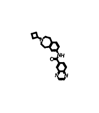 O=C(Nc1ccc2c(c1)CCN(C1CCC1)CC2)c1ccc2nccnc2c1